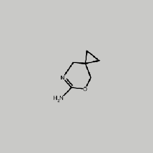 NC1=NCC2(CC2)CO1